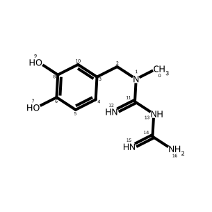 CN(Cc1ccc(O)c(O)c1)C(=N)NC(=N)N